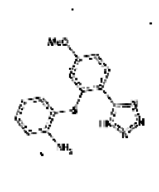 COc1ccc(-c2nnn[nH]2)c(Sc2ccccc2N)c1